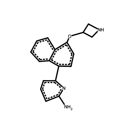 Nc1cccc(-c2ccc(OC3CNC3)c3ccccc23)n1